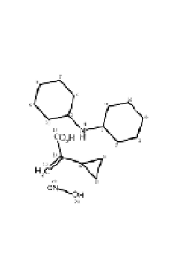 C1CCC(NC2CCCCC2)CC1.C=C(C(=O)O)C1CC1.O=NO